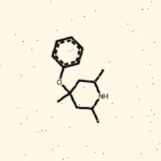 CC1CC(C)(Oc2ccccc2)CC(C)N1